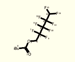 CCC(C)C(=O)OCC(F)(F)C(F)(F)C(F)(F)C(F)F